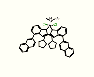 CCC[SiH](C)[Zr]([Cl])([Cl])([CH]1C(CC2CCCC2)=Cc2c(-c3ccc4ccccc4c3)cccc21)[CH]1C(CC2CCCC2)=Cc2c(-c3ccc4ccccc4c3)cccc21